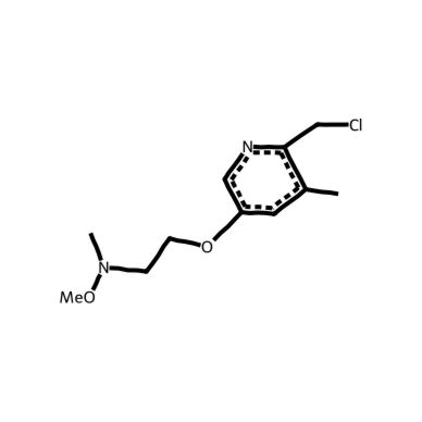 CON(C)CCOc1cnc(CCl)c(C)c1